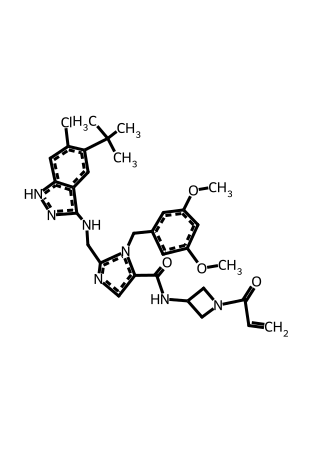 C=CC(=O)N1CC(NC(=O)c2cnc(CNc3n[nH]c4cc(Cl)c(C(C)(C)C)cc34)n2Cc2cc(OC)cc(OC)c2)C1